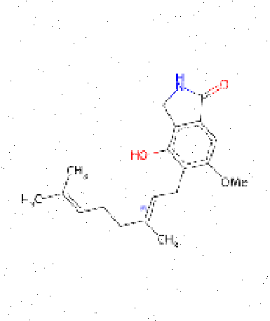 COc1cc2c(c(O)c1C/C=C(\C)CCC=C(C)C)CNC2=O